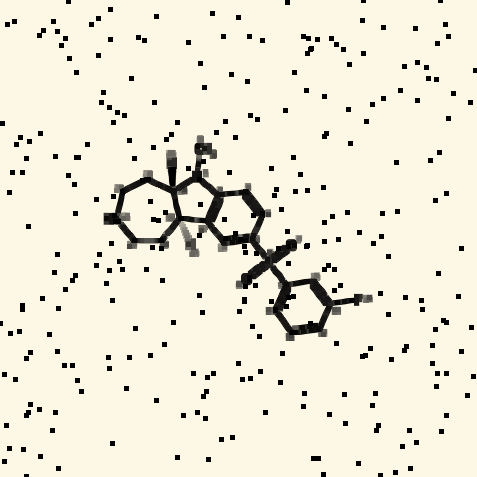 CN1c2ccc(S(=O)(=O)c3cccc(F)c3)cc2[C@H]2CCNCC[C@@H]21